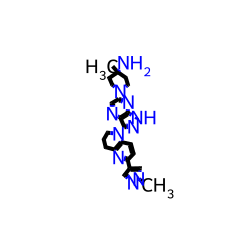 Cn1cc(-c2ccc3c(n2)CCCN3c2n[nH]c3nc(N4CCC(C)(N)CC4)cnc23)cn1